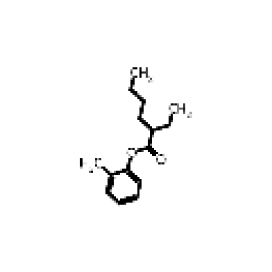 CCCCC(CC)C(=O)Oc1ccccc1C